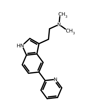 CN(C)CCc1c[nH]c2ccc(-c3ccccn3)cc12